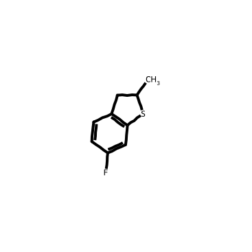 CC1Cc2ccc(F)cc2S1